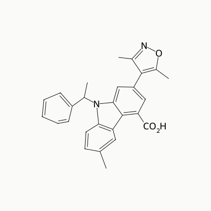 Cc1ccc2c(c1)c1c(C(=O)O)cc(-c3c(C)noc3C)cc1n2C(C)c1ccccc1